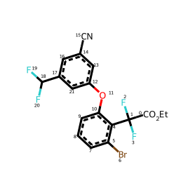 CCOC(=O)C(F)(F)c1c(Br)cccc1Oc1cc(C#N)cc(C(F)F)c1